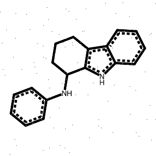 c1ccc(NC2CCCc3c2[nH]c2ccccc32)cc1